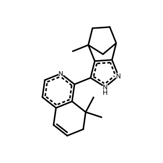 CC1(C)CC=Cc2ccnc(-c3[nH]nc4c3C3(C)CCC4C3)c21